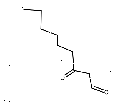 CCCCCCC(=O)C[C]=O